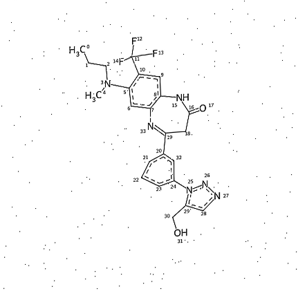 CCCN(C)c1cc2c(cc1C(F)(F)F)NC(=O)CC(c1cccc(-n3nncc3CO)c1)=N2